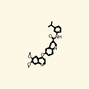 COc1cc2nccc(Oc3ccc4ncc(C(=O)Nc5cccc(C(C)C)c5)cc4c3)c2cc1OC